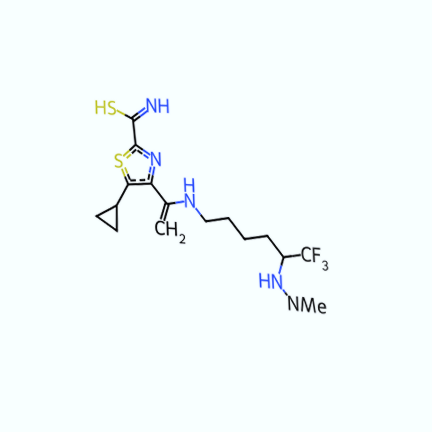 C=C(NCCCCC(NNC)C(F)(F)F)c1nc(C(=N)S)sc1C1CC1